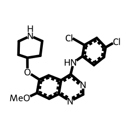 COc1cc2ncnc(Nc3ccc(Cl)cc3Cl)c2cc1OC1CCNCC1